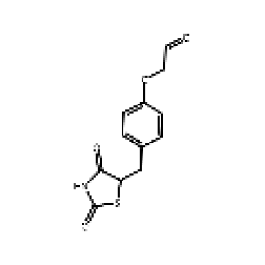 O=CCOc1ccc(CC2SC(=O)NC2=O)cc1